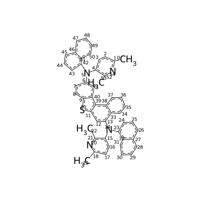 Cc1ccc(N(c2ccc3sc4cc(N(c5ccc(C)nc5C)c5cccc6ccccc56)c5ccccc5c4c3c2)c2cccc3ccccc23)c(C)n1